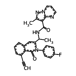 C#Cc1cccc2cc(C(C)NC(=O)c3c(C)nn4cccnc34)n(-c3ccc(F)cc3)c(=O)c12